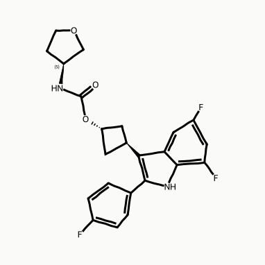 O=C(N[C@H]1CCOC1)O[C@H]1C[C@H](c2c(-c3ccc(F)cc3)[nH]c3c(F)cc(F)cc32)C1